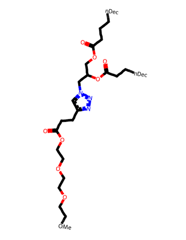 CCCCCCCCCCCCCC(=O)OCC(Cn1cc(CCC(=O)OCCOCCOCCOC)nn1)OC(=O)CCCCCCCCCCCC